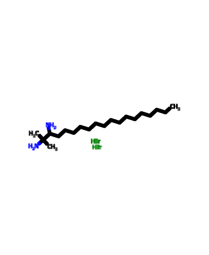 Br.Br.CCCCCCCCCCCCCCCCC(N)C(C)(C)N